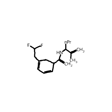 C=C(NC(CCC)C(=C)C)C1C=CC=C(CC(F)F)C1